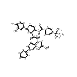 CC(C)(C)c1ccc(C(=O)Nc2ccc(-c3ccc(F)c(Cl)c3)cc2C(=O)NC(CC(=O)O)c2ccc(-c3ccccc3)cc2)cc1